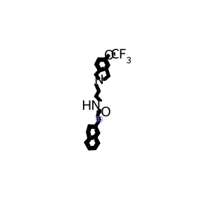 O=C(/C=C/c1ccc2ccccc2c1)NCCCCN1CCc2cc(OC(F)(F)F)ccc2C1